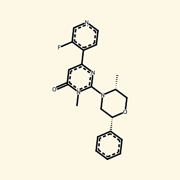 C[C@@H]1CO[C@H](c2ccccc2)CN1c1nc(-c2ccncc2F)cc(=O)n1C